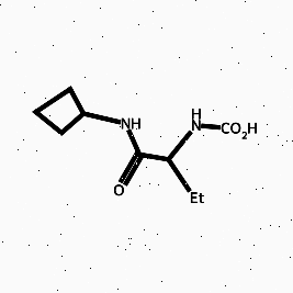 CCC(NC(=O)O)C(=O)NC1CCC1